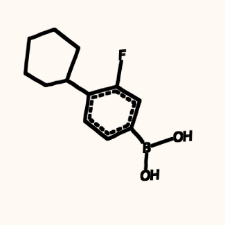 OB(O)c1ccc(C2CCCCC2)c(F)c1